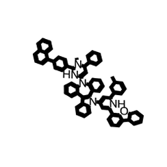 CC1C=CC=C(C2C=C(n3c4c(c5ccccc53)-c3ccccc3N(C3=CC(c5ccccc5)N(C)C(C5=CCC(c6cccc7ccccc67)C=C5)N3)C3=C4C=CCC3)C=C(c3cccc4c3OC3C=CC=CC43)N2)C1